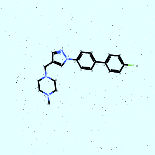 CN1CCN(Cc2cnn(-c3ccc(-c4ccc(F)cc4)cc3)c2)CC1